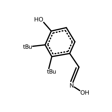 CC(C)(C)c1c(O)ccc(C=NO)c1C(C)(C)C